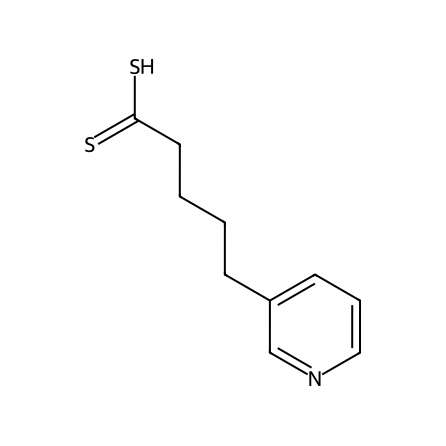 S=C(S)CCCCc1cccnc1